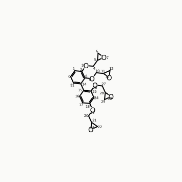 c1cc(OCC2CO2)c(OCC2CO2)c(-c2ccc(OCC3CO3)cc2OCC2CO2)c1